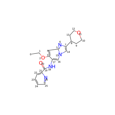 CCOc1cc2nc(C3CCOCC3)cn2cc1NC(=O)c1ccccn1